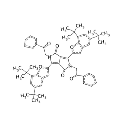 CC(C)(C)c1cc(C(C)(C)C)c2oc(C3=C4C(=O)N(CC(=O)c5ccccc5)C(c5cc6cc(C(C)(C)C)cc(C(C)(C)C)c6o5)=C4C(=O)N3CC(=O)c3ccccc3)cc2c1